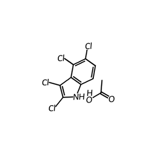 CC(=O)O.Clc1ccc2[nH]c(Cl)c(Cl)c2c1Cl